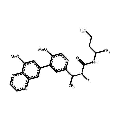 CCN(C(=O)NC(CCC(F)(F)F)C(F)(F)F)C(c1cc(-c2cc(OC)c3nccnc3c2)c(OC)cn1)C(F)(F)F